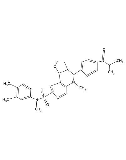 Cc1ccc(N(C)S(=O)(=O)c2ccc3c(c2)C2OCCC2C(c2ccc(C(=O)C(C)C)cc2)N3C)cc1C